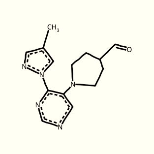 Cc1cnn(-c2ncncc2N2CCC(C=O)CC2)c1